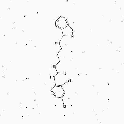 O=C(NCCCNc1nsc2ccccc12)Nc1ccc(Cl)cc1Cl